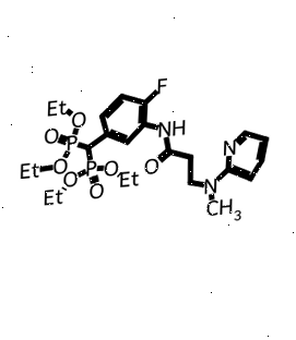 CCOP(=O)(OCC)C(c1ccc(F)c(NC(=O)CCN(C)c2ccccn2)c1)P(=O)(OCC)OCC